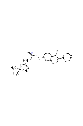 CC(C)(C)OC(=O)NC/C(=C\F)COc1ccc2c(F)c(N3CCOCC3)ccc2c1